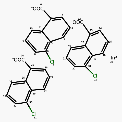 O=C([O-])c1cccc2c(Cl)cccc12.O=C([O-])c1cccc2c(Cl)cccc12.O=C([O-])c1cccc2c(Cl)cccc12.[In+3]